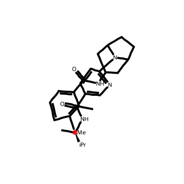 COc1cccc(C(=O)NC2CC3CCC(C2)N3c2ccc(C(=O)N[C@H](C)C(C)C)cn2)c1C